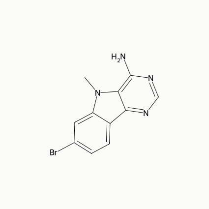 Cn1c2cc(Br)ccc2c2ncnc(N)c21